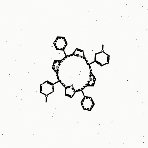 CN1C=CC=C(c2c3nc(c(-c4ccccc4)c4ccc([nH]4)c(C4=CC=CN(C)C4)c4nc(c(-c5ccccc5)c5ccc2[nH]5)C=C4)C=C3)C1